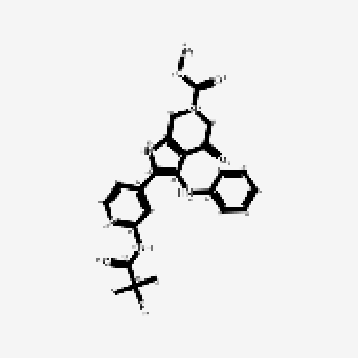 CC(C)OC(=O)N1CC(=O)c2c([nH]c(-c3ccnc(NC(=O)C(C)(C)F)c3)c2Nc2ccccc2)C1